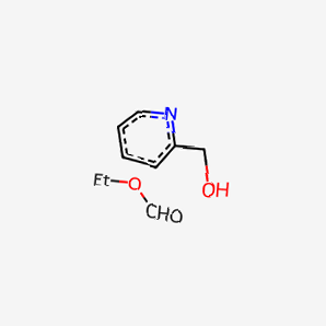 CCOC=O.OCc1ccccn1